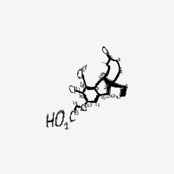 C=CC12CCC(=O)C=C1c1c(cc(OCC(=O)O)c(Cl)c1Cl)C2